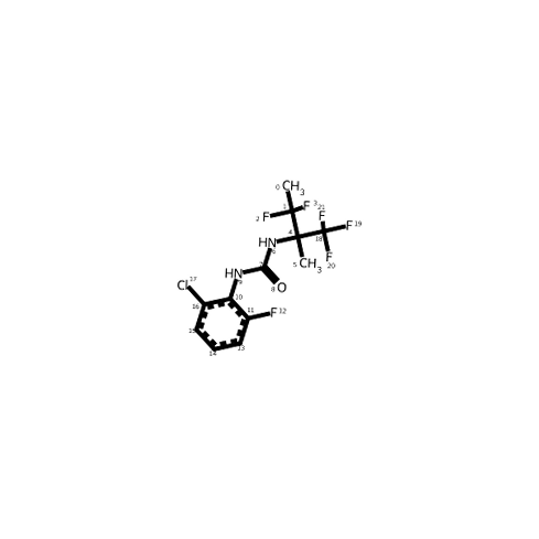 CC(F)(F)C(C)(NC(=O)Nc1c(F)cccc1Cl)C(F)(F)F